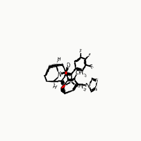 Cc1c(C(=O)N2[C@H]3CCC[C@@H]2c2nn(C)c(-c4cc(F)c(F)c(F)c4)c2C3)cccc1-n1cnnc1